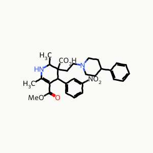 COC(=O)C1=C(C)NC(C)C(CCN2CCC(c3ccccc3)CC2)(C(=O)O)C1c1cccc([N+](=O)[O-])c1